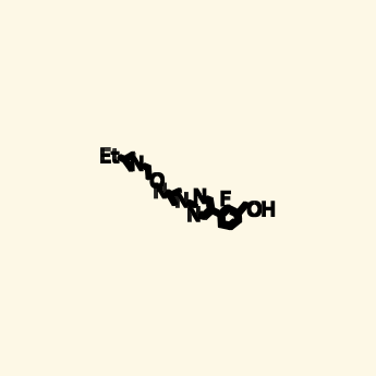 CCC1CN(CCON=C2CN(c3ncc(-c4cccc(CO)c4F)cn3)C2)C1